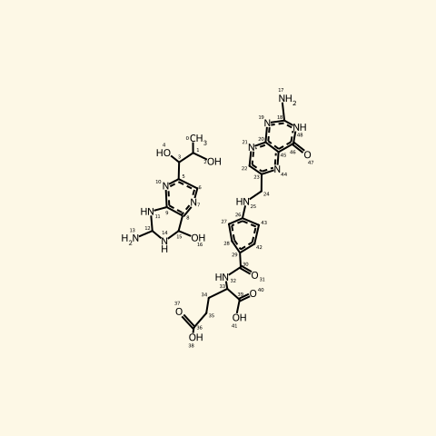 CC(O)C(O)c1cnc2c(n1)NC(N)NC2O.Nc1nc2ncc(CNc3ccc(C(=O)NC(CCC(=O)O)C(=O)O)cc3)nc2c(=O)[nH]1